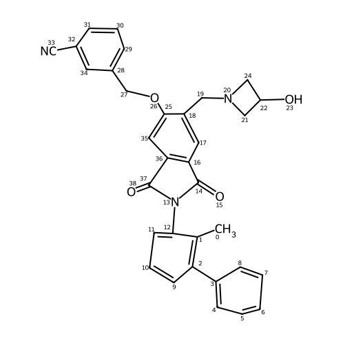 Cc1c(-c2ccccc2)cccc1N1C(=O)c2cc(CN3CC(O)C3)c(OCc3cccc(C#N)c3)cc2C1=O